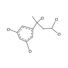 CC(Cl)(CC(Cl)Cl)c1cc(Cl)cc(Cl)c1